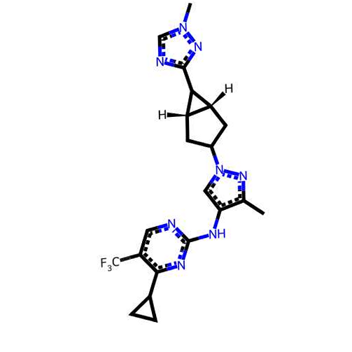 Cc1nn(C2C[C@@H]3C(c4ncn(C)n4)[C@@H]3C2)cc1Nc1ncc(C(F)(F)F)c(C2CC2)n1